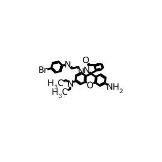 CCN(CC)c1ccc2c(c1)Oc1cc(N)ccc1C21c2ccccc2C(=O)N1/N=C/C=N/c1ccc(Br)cc1